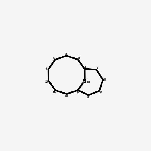 C1CCCC2CCCCC(CCC1)S2